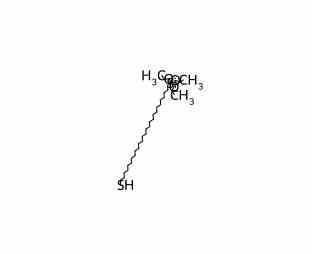 CCO[Si](CCCCCCCCCCCCCCCCCCCCCCCCCCCS)(OCC)OCC